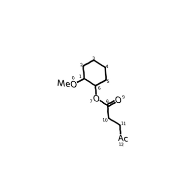 COC1CCCCC1OC(=O)CCC(C)=O